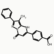 Cc1c(-c2ccccc2)nn2c(=O)cc(-c3ccc(C(=O)O)cc3)[nH]c12